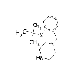 CC(C)(C)Sc1ccccc1CN1CCNCC1